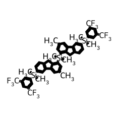 Cc1cc2c(c([Si](C)(C)c3cc(C)cc4c3Cc3ccc([Si](C)(C)c5cc(C(F)(F)F)cc(C(F)(F)F)c5)cc3-4)c1)Cc1ccc([Si](C)(C)c3cc(C(F)(F)F)cc(C(F)(F)F)c3)cc1-2